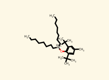 CCCCCCC[CH2][Al]([CH2]CCCCCCC)[O]c1c(C(C)(C)C)cc(C)cc1C(C)(C)C